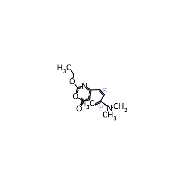 C/C=C(\C=C/c1cc(=O)oc(OCC)n1)N(C)C